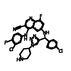 N#Cc1cnc2c(F)cc(N[C@@H](c3ccc(Cl)cc3)c3cn(C4CCNCC4)nn3)cc2c1Nc1ccc(F)c(Cl)c1